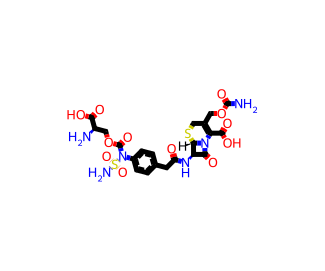 NC(=O)OCC1=C(C(=O)O)N2C(=O)[C@@H](NC(=O)Cc3ccc(N(C(=O)OC[C@@H](N)C(=O)O)S(N)(=O)=O)cc3)[C@H]2SC1